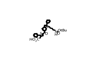 CC(C)(C)OC(=O)NCCCCCn1c(-c2ccccc2)cc2ccc(C(=O)c3cc(CC(=O)O)c(-c4ccccc4)s3)cc21